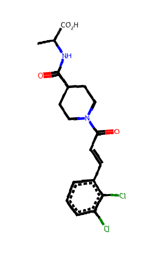 CC(NC(=O)C1CCN(C(=O)/C=C/c2cccc(Cl)c2Cl)CC1)C(=O)O